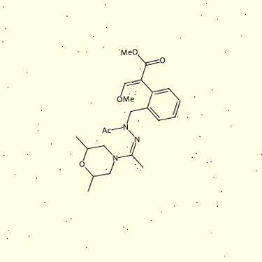 CO/C=C(/C(=O)OC)c1ccccc1CN(/N=C(/C)N1CC(C)OC(C)C1)C(C)=O